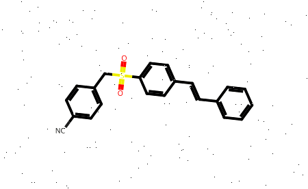 N#Cc1ccc(CS(=O)(=O)c2ccc(C=Cc3ccccc3)cc2)cc1